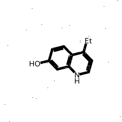 CCC1=C=CNc2cc(O)ccc21